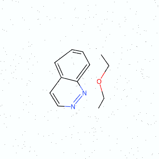 CCOCC.c1ccc2nnccc2c1